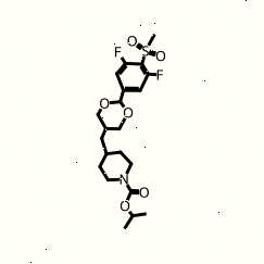 CC(C)OC(=O)N1CCC(CC2COC(c3cc(F)c(S(C)(=O)=O)c(F)c3)OC2)CC1